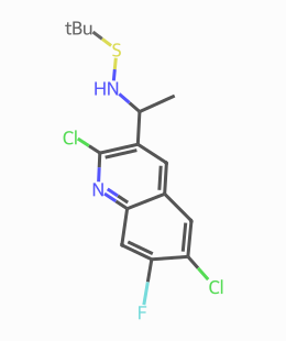 CC(NSC(C)(C)C)c1cc2cc(Cl)c(F)cc2nc1Cl